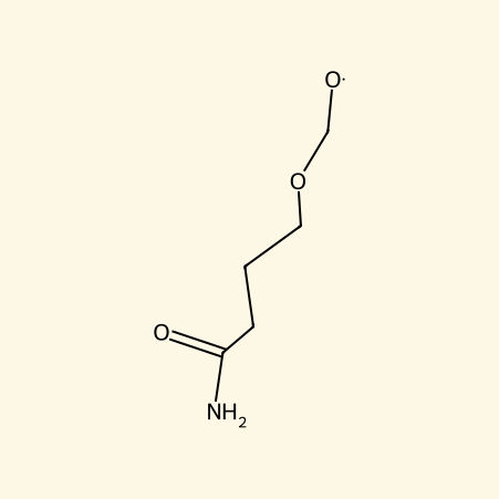 NC(=O)CCCOC[O]